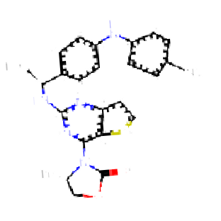 CC(C)[C@H]1COC(=O)N1c1nc(N[C@@H](C)c2ccc(Nc3ccc([N+](=O)[O-])cc3)cc2)nc2ccsc12